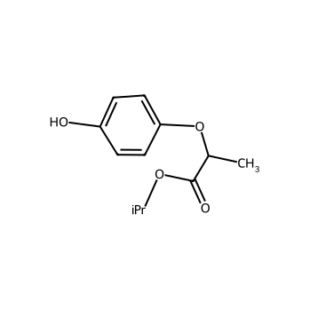 CC(C)OC(=O)C(C)Oc1ccc(O)cc1